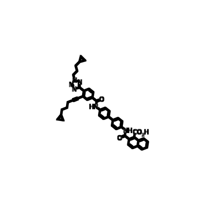 O=C(Nc1ccc(-c2ccc(NC(=O)c3ccc4ccccc4c3C(=O)O)cc2)cc1)c1ccc(-c2nnn(CCCC3CC3)n2)c(C#CCCCC2CC2)c1